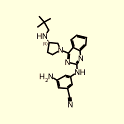 CC(C)(C)CN[C@H]1CCN(c2nc(Nc3cc(N)cc(C#N)c3)nc3ccccc23)C1